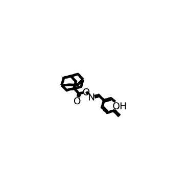 C=C(O)\C=C/C(/C=N/OC(=O)C12CC3CC(CC(C3)C1)C2)=C\C